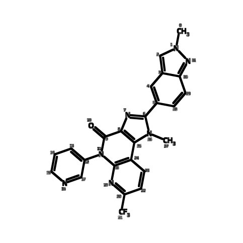 Cn1cc2cc(-c3nc4c(=O)n(-c5cccnc5)c5nc(C(F)(F)F)ccc5c4n3C)ccc2n1